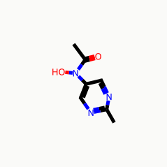 CC(=O)N(O)c1cnc(C)nc1